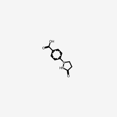 O=C1CCN(c2ccc(C(=O)O)cc2)N1